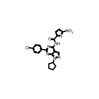 O=C(Nc1nc(-c2ccc(Cl)cc2)nc2c1cnn2C1CCCC1)c1ccc([N+](=O)[O-])s1